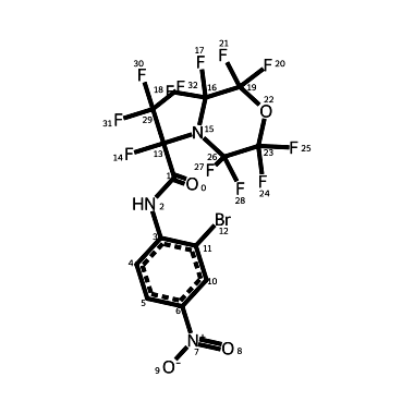 O=C(Nc1ccc([N+](=O)[O-])cc1Br)C(F)(N1C(F)(F)C(F)(F)OC(F)(F)C1(F)F)C(F)(F)F